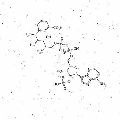 CC(COP(=O)(O)OP(=O)(O)OC[C@H]1O[C@@H](n2cnc3c(N)ncnc32)[C@H](OP(=O)(O)O)[C@@H]1O)[C@@H](O)[C@@H](O)C(C)N1C=C(C(=O)O)C=CC1